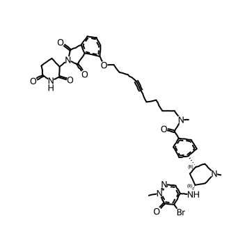 CN1C[C@H](Nc2cnn(C)c(=O)c2Br)C[C@H](c2ccc(C(=O)N(C)CCCCC#CCCCOc3cccc4c3C(=O)N(C3CCC(=O)NC3=O)C4=O)cc2)C1